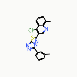 Cc1cccc(-c2nnc3sc(-c4cnc5c(C)cccc5c4Cl)nn23)c1